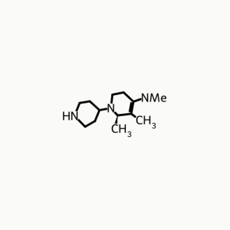 CNC1=C(C)[C@@H](C)N(C2CCNCC2)CC1